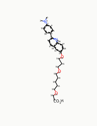 CN(C)c1ccc(-c2ccc3cc(OCCCOCCCCCOCC(=O)O)ccc3n2)cc1